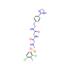 Cc1c(Cl)ccc(S(=O)(=O)CNCC(=O)NCC(=O)NCCc2ccc(C3=NCCN3)cc2)c1Cl